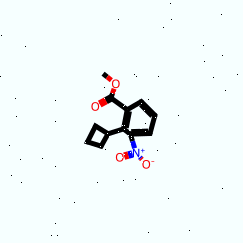 COC(=O)c1cccc([N+](=O)[O-])c1C1CCC1